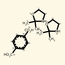 CC1(C)NCCO1.CC1(C)NCCO1.O=C(O)c1ccc(C(=O)O)cc1